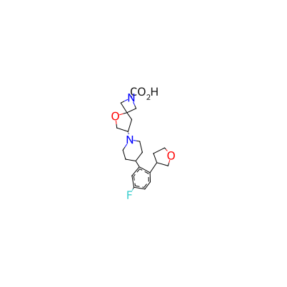 O=C(O)N1CC2(C[C@H](N3CCC(c4cc(F)ccc4C4CCOC4)CC3)CO2)C1